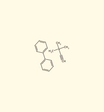 C#C[Si](C)(C)C.c1ccc(-c2ccccc2)cc1